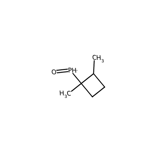 CC1CCC1(C)[PH]=O